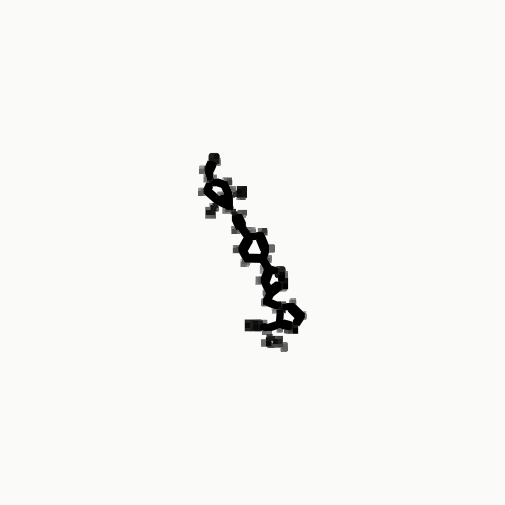 C[C@H](O)c1nccn1Cc1cc(-c2ccc(C#C[C@@H]3[C@H]4CN(C=O)C[C@@H]34)cc2)on1